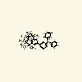 CC1(C)c2cc(-c3cccc(N(c4ccccc4)c4ccccc4)c3)cc3c2C(C)(C1(C)C)C(C)(C)C3(C)C